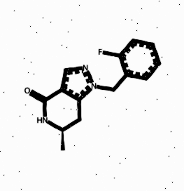 C[C@@H]1Cc2c(cnn2Cc2ccccc2F)C(=O)N1